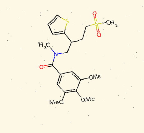 COc1cc(C(=O)N(C)CC(CCS(C)(=O)=O)c2cccs2)cc(OC)c1OC